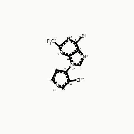 CCc1nc(C(F)(F)F)nc2c1ncn2-c1ccncc1Cl